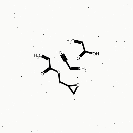 C=CC#N.C=CC(=O)O.C=CC(=O)OCC1CO1